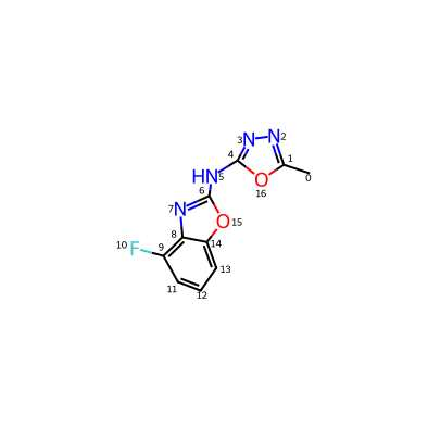 Cc1nnc(Nc2nc3c(F)cccc3o2)o1